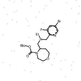 CCN(Cc1ncc(Br)cc1F)CC1CCOCCN1C(=O)OC(C)(C)C